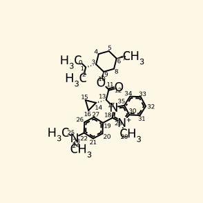 CC(C)[C@@H]1CC[C@@H](C)C[C@H]1OC(=O)[C@@H](C1CC1)n1c(-c2ccc(N(C)C)cc2)[n+](C)c2ccccc21